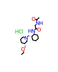 CCOC[C@@H]1CCCN(C[C@H]2CCCC[C@@H]2NC(=O)CNC(C)=O)C1.Cl